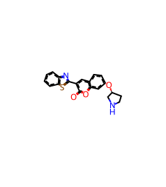 O=c1oc2cc(O[C@H]3CCNC3)ccc2cc1-c1nc2ccccc2s1